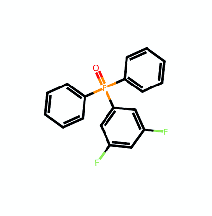 O=P(c1ccccc1)(c1ccccc1)c1cc(F)cc(F)c1